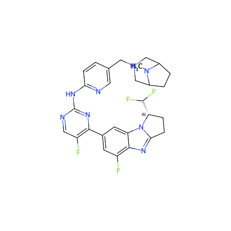 CN1C2CCC1CN(Cc1ccc(Nc3ncc(F)c(-c4cc(F)c5nc6n(c5c4)[C@H](C(F)F)CC6)n3)nc1)C2